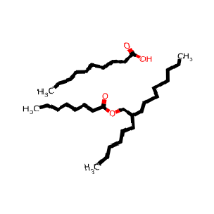 CCCCCCCCC(CCCCCC)COC(=O)CCCCCCC.CCCCCCCCCC(=O)O